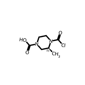 C[C@H]1CN(C(=O)O)CCN1C(=O)Cl